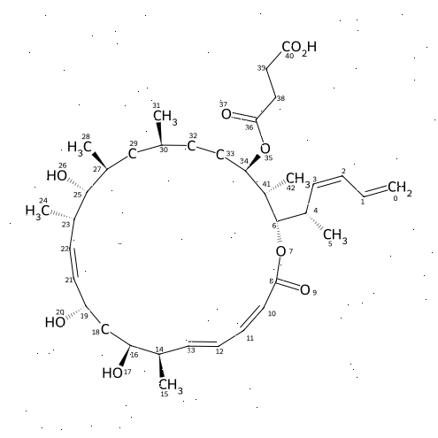 C=C/C=C\[C@H](C)[C@@H]1OC(=O)/C=C\C=C\[C@@H](C)[C@@H](O)C[C@H](O)/C=C\[C@H](C)[C@H](O)[C@@H](C)C[C@@H](C)CC[C@@H](OC(=O)CCC(=O)O)[C@@H]1C